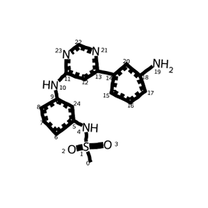 CS(=O)(=O)Nc1cccc(Nc2cc(-c3cccc(N)c3)ncn2)c1